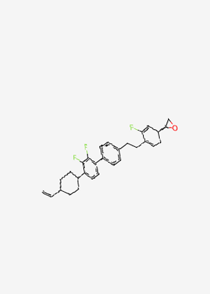 C=CC1CCC(c2ccc(-c3ccc(CCC4=CCC(C5CO5)C=C4F)cc3)c(F)c2F)CC1